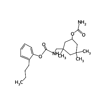 CCCCc1ccccc1OC(=O)NCC1(C)CC(OC(N)=O)CC(C)(C)C1